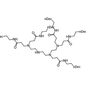 CCCCCCCCCCCCNC(=O)CCN(CCNCCN(CCC(=O)NCCCCCCCCCCCC)CCN(CCC(=O)NCCCCCCCCCCCC)CCC(=O)NCCCCCCCCCCCC)CCC(=O)NCCCCCCCCCCCC